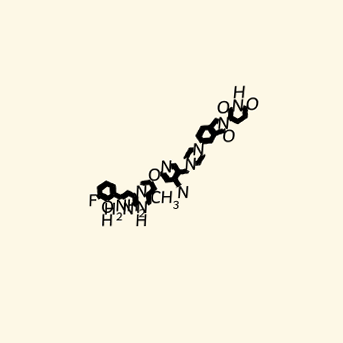 CC12CNC(N)=C(/C=C(\N)c3cccc(F)c3O)N1CC(Oc1cc(C#N)c(CN3CCN(c4ccc5c(c4)C(=O)N(C4CCC(=O)NC4=O)C5)CC3)cn1)C2